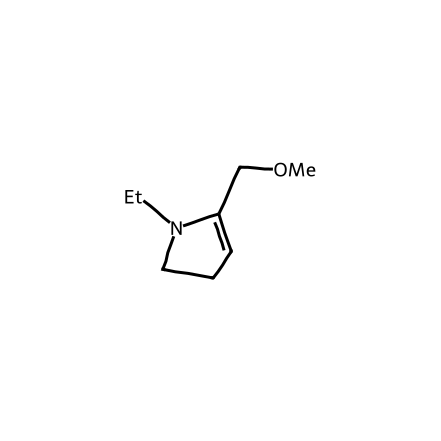 CCN1CCC=C1COC